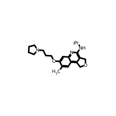 Cc1cc2c3c(c(NC(C)C)nc2cc1OCCCN1CCCC1)COC3